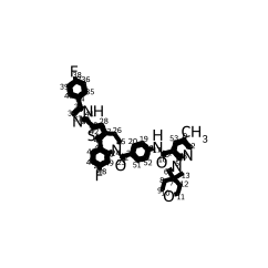 Cc1cnc(N2CC3(CCOCC3)C2)c(C(=O)Nc2ccc(C(=O)N3CCc4cc(-c5ncc(-c6ccc(F)cc6)[nH]5)sc4-c4ccc(F)cc43)cc2)c1